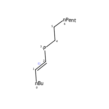 CCCC/C=C/[P]CCCCCCC